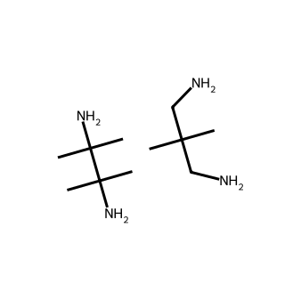 CC(C)(CN)CN.CC(C)(N)C(C)(C)N